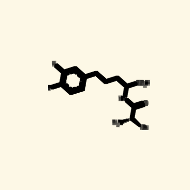 CC[C@H](C)[C@H](N)C(=O)NC(CCCc1ccc(F)c(F)c1)C(=O)O